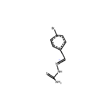 NC(=S)N/N=C/c1ccc(Br)cc1